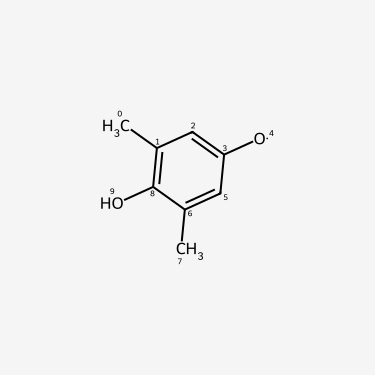 Cc1cc([O])cc(C)c1O